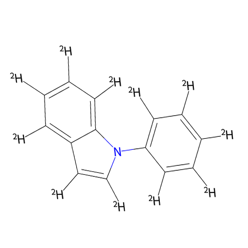 [2H]c1c([2H])c([2H])c(-n2c([2H])c([2H])c3c([2H])c([2H])c([2H])c([2H])c32)c([2H])c1[2H]